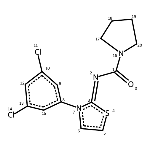 O=C(/N=c1\sccn1-c1cc(Cl)cc(Cl)c1)N1CCCC1